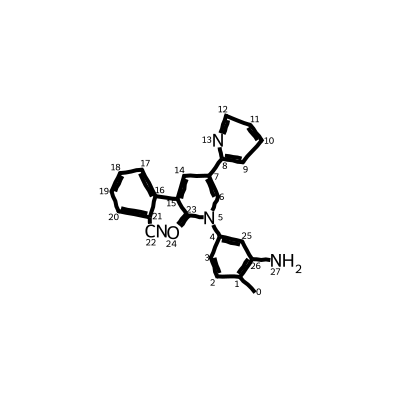 Cc1ccc(-n2cc(-c3ccccn3)cc(-c3ccccc3C#N)c2=O)cc1N